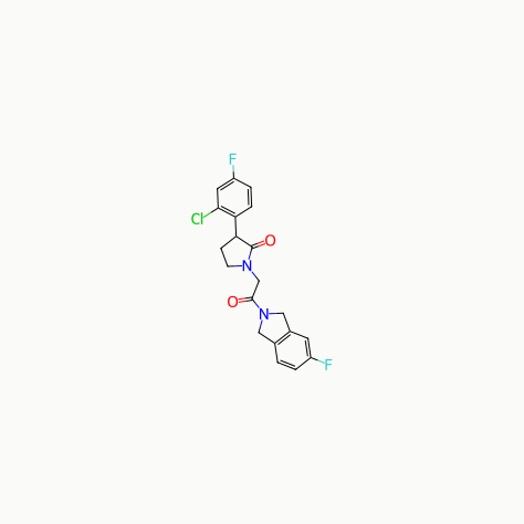 O=C(CN1CCC(c2ccc(F)cc2Cl)C1=O)N1Cc2ccc(F)cc2C1